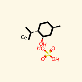 CC(C)[C@@H]1CC[C@@H](C)C[C@H]1O.O=S(=O)(O)O.[Ce]